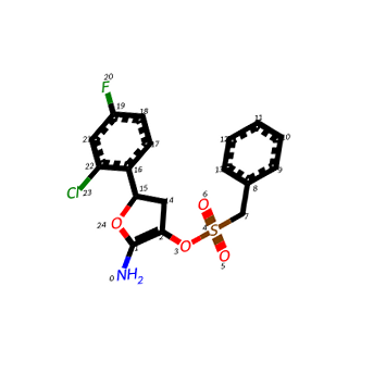 NC1=C(OS(=O)(=O)Cc2ccccc2)CC(c2ccc(F)cc2Cl)O1